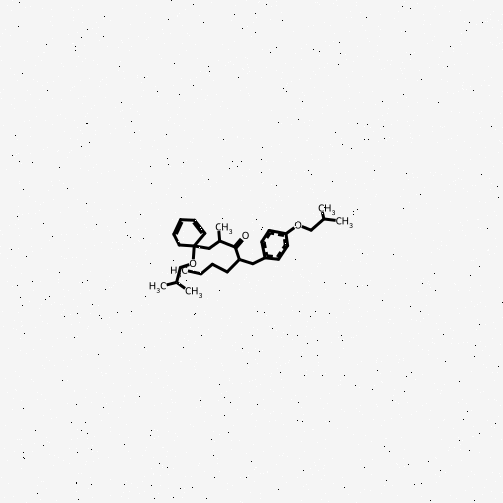 CCCCC(Cc1ccc(OCC(C)C)cc1)C(=O)C(C)CC1(OCC(C)C)C=CC=CC1